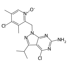 Cc1c[n+]([O-])c(Cn2nc(C(C)C)c3c(Cl)nc(N)nc32)c(C)c1Cl